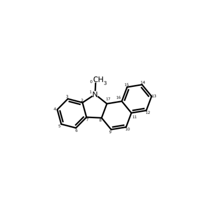 CN1c2ccccc2C2C=Cc3ccccc3C21